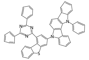 c1ccc(-c2nc(-c3ccccc3)nc(-c3cc(-n4c5ccccc5c5c4ccc4c6ccccc6n(-c6ccccc6)c45)cc4sc5ccccc5c34)n2)cc1